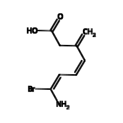 C=C(/C=C\C=C(/N)Br)CC(=O)O